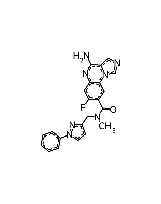 CN(Cc1ccn(-c2ccccc2)n1)C(=O)c1cc2c(cc1F)nc(N)c1cncn12